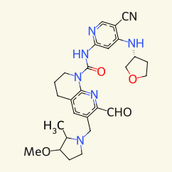 COC1CCN(Cc2cc3c(nc2C=O)N(C(=O)Nc2cc(N[C@@H]4CCOC4)c(C#N)cn2)CCC3)C1C